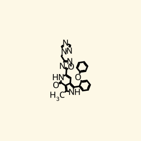 Cc1[nH]c(-c2ccccc2Oc2ccccc2)c2cc(-c3nc(Cn4cncn4)no3)[nH]c(=O)c12